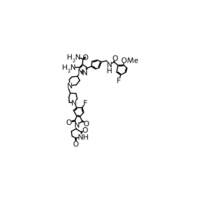 COc1ccc(F)cc1C(=O)NCc1ccc(-c2nn(C3CCN(CC4CCN(c5cc6c(cc5F)C(=O)N(C5CCC(=O)NC5=O)C6=O)CC4)CC3)c(N)c2C(N)=O)cc1